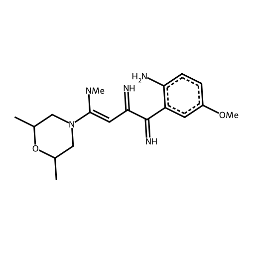 CN/C(=C\C(=N)C(=N)c1cc(OC)ccc1N)N1CC(C)OC(C)C1